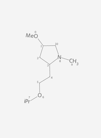 COC1CC(CCOC(C)C)N(C)C1